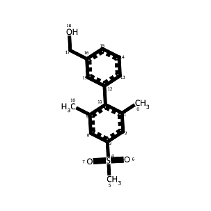 Cc1cc(S(C)(=O)=O)cc(C)c1-c1cccc(CO)c1